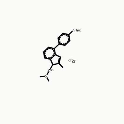 CCCCCCc1ccc(-c2cccc3c2C=C(C)[CH]3[Zr+2][Si](C)C)cc1.[Cl-].[Cl-]